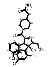 CC(C)(C)CC1NC(C(=O)N2CCC(CC(N)=O)CC2)C(c2cccc(Cl)c2F)C1(C#N)c1ccc(Cl)cc1F